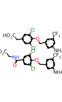 CC(=O)Nc1cc(COc2c(Cl)cc(C(=O)NCC(=O)O)cc2Cl)cc(C(F)(F)F)c1.CC(=O)Nc1cc(COc2c(Cl)cc(CC(=O)O)cc2Cl)cc(C(F)(F)F)c1